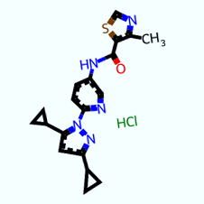 Cc1ncsc1C(=O)Nc1ccc(-n2nc(C3CC3)cc2C2CC2)nc1.Cl